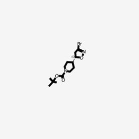 CC(C)(C)OC(=O)N1CCC([C@@H]2CC(Br)=NO2)CC1